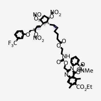 CCOC(=O)c1c(C)cc2nc(COC(=O)NCCOC(=O)CCC/C=C\C[C@@H]3[C@@H](/C=C/[C@H](COc4cccc(C(F)(F)F)c4)O[N+](=O)[O-])[C@H](O[N+](=O)[O-])C[C@@H]3O[N+](=O)[O-])n(-c3ccccc3S(=O)(=O)NC)c(=O)c2c1C